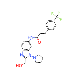 O=C(CCc1ccc(C(F)(F)F)cc1)Nc1ccc2nc(CO)n(N3CCCC3)c2c1